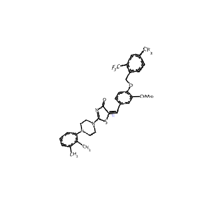 COc1cc(/C=C2/SC(N3CCN(c4cccc(C)c4C)CC3)=NC2=O)ccc1OCc1ccc(C(F)(F)F)cc1C(F)(F)F